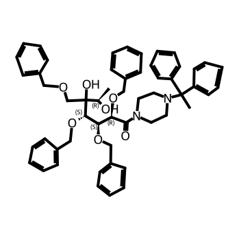 C[C@@H](O)C(O)(COCc1ccccc1)[C@@H](OCc1ccccc1)[C@H](OCc1ccccc1)[C@@H](OCc1ccccc1)C(=O)N1CCN(C(C)(c2ccccc2)c2ccccc2)CC1